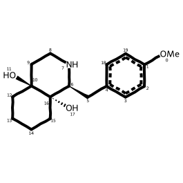 COc1ccc(C[C@@H]2NCC[C@@]3(O)CCCC[C@]23O)cc1